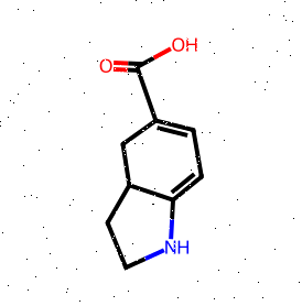 O=C(O)C1=CC=C2NCCC2C1